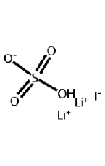 O=S(=O)([O-])O.[I-].[Li+].[Li+]